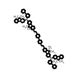 CC1(C)c2cc(/C=C/c3ccc(-c4ccc(/C=C/c5ccc6c(c5)C(C)(C)c5cc(N(c7cccc(-c8ccccc8)c7)c7ccc8c(c7)C(C)(C)c7ccccc7-8)ccc5-6)cc4)cc3)ccc2-c2ccc(N(C3=CC4C(C=C3)c3ccccc3C4(C)C)c3cccc(-c4ccccc4)c3)cc21